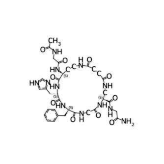 CC(=O)NCC(=O)N[C@H]1CCNC(=O)CCC(=O)NC[C@@H](C(=O)NCC(N)=O)NC(=O)CNC(=O)[C@@H](Cc2ccccc2)NC(=O)[C@H](Cc2c[nH]cn2)NC1=O